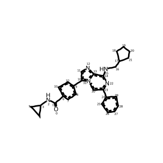 O=C(NC1CC1)c1ccc(-c2cnc3c(NCC4CCCC4)nc(-c4ccccc4)cn23)cc1